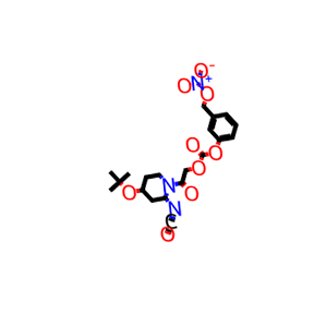 CC(C)(C)OC1CCN(C(=O)COC(=O)Oc2cccc(CO[N+](=O)[O-])c2)C(N=C=O)C1